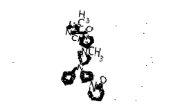 Cc1ncnc(C)c1C(=O)N1CCC(C)(N2CCC(N(Cc3ccccc3)c3ccc(N4CCCCC4=O)cc3)CC2)CC1